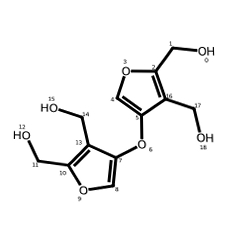 OCc1occ(Oc2coc(CO)c2CO)c1CO